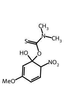 COC1=CC(O)(OC(=S)N(C)C)C([N+](=O)[O-])C=C1